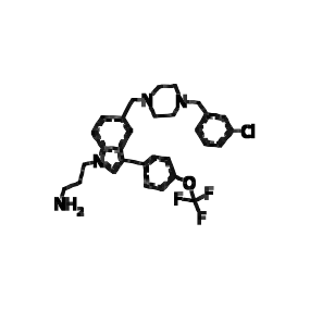 NCCCn1cc(-c2ccc(OC(F)(F)F)cc2)c2cc(CN3CCN(Cc4cccc(Cl)c4)CC3)ccc21